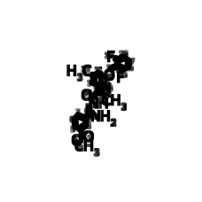 COC(=O)c1cccc(C(N)CNC(=O)c2c(C)nn3c(OCc4c(F)cccc4F)cc(C)cc23)c1